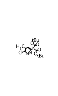 Cc1cc(N(C(=O)OC(C)(C)C)C(=O)OC(C)(C)C)nnc1Cl